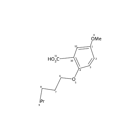 COc1ccc(OCCCC(C)C)c(C(=O)O)c1